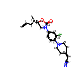 C=CC[As](C)[C@H]1CN(c2ccc(N3CCC(=CC#N)CC3)c(F)c2)C(=O)O1